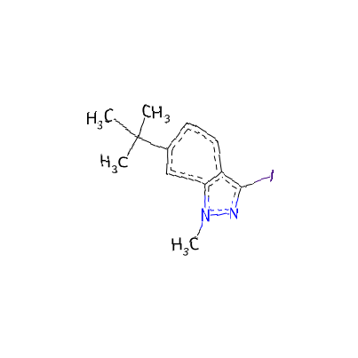 Cn1nc(I)c2ccc(C(C)(C)C)cc21